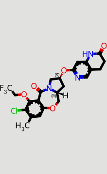 Cc1cc2c(c(OCC(F)(F)F)c1Cl)C(=O)N1C[C@@H](Oc3cc4c(cn3)CCC(=O)N4)C[C@@H]1CO2